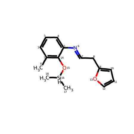 Cc1cccc(N=CCc2ccco2)c1O[SiH](C)C